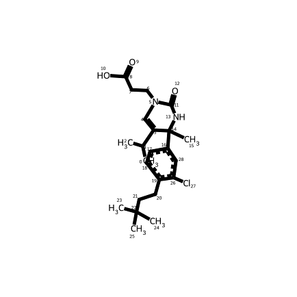 CC(C)C1=CN(CCC(=O)O)C(=O)NC1(C)c1ccc(CCC(C)(C)C)c(Cl)c1